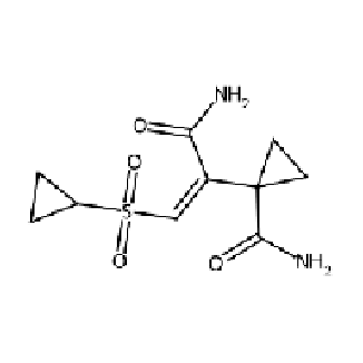 NC(=O)C(=CS(=O)(=O)C1CC1)C1(C(N)=O)CC1